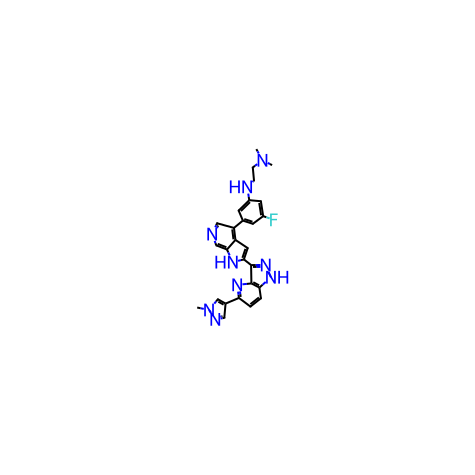 CN(C)CCNc1cc(F)cc(-c2cncc3[nH]c(-c4n[nH]c5ccc(-c6cnn(C)c6)nc45)cc23)c1